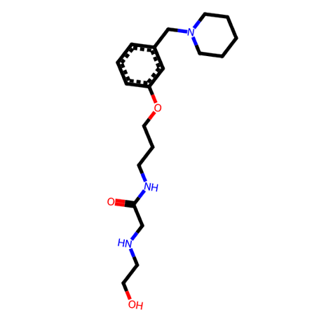 O=C(CNCCO)NCCCOc1cccc(CN2CCCCC2)c1